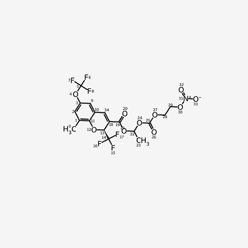 Cc1cc(OC(F)(F)F)cc2c1O[C@H](C(F)(F)F)C(C(=O)OC(C)OC(=O)OCCO[N+](=O)[O-])=C2